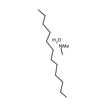 CCCCCCCCCCCC.CNC.O